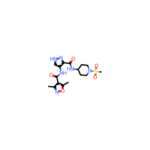 Cc1noc(C)c1C(=O)Nc1c[nH]nc1C(=O)NC1CCN(S(C)(=O)=O)CC1